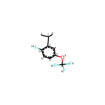 CC(C)c1cc(OC(F)(F)F)ccc1F